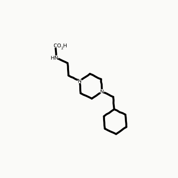 O=C(O)NCCN1CCN(CC2CCCCC2)CC1